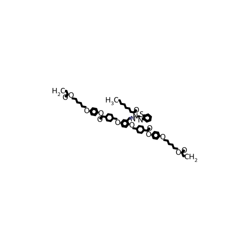 C=CC(=O)OCCCCCCOc1ccc(OC(=O)C2CCC(COc3ccc(OCC4CCC(C(=O)Oc5ccc(OCCCCCCOC(=O)C=C)cc5)CC4)c(/C=N/N(C(=O)CCCCCCC)c4nc5ccccc5s4)c3)CC2)cc1